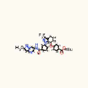 Cc1cc2ncc(NC(=O)c3cccc(-n4nc(C(F)(F)F)c5c4C(Oc4ccc(C(=O)OC(C)(C)C)cc4)CCC5)c3)cn2n1